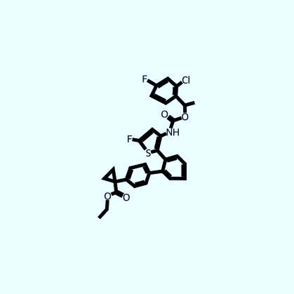 CCOC(=O)C1(c2ccc(-c3ccccc3-c3sc(F)cc3NC(=O)OC(C)c3ccc(F)cc3Cl)cc2)CC1